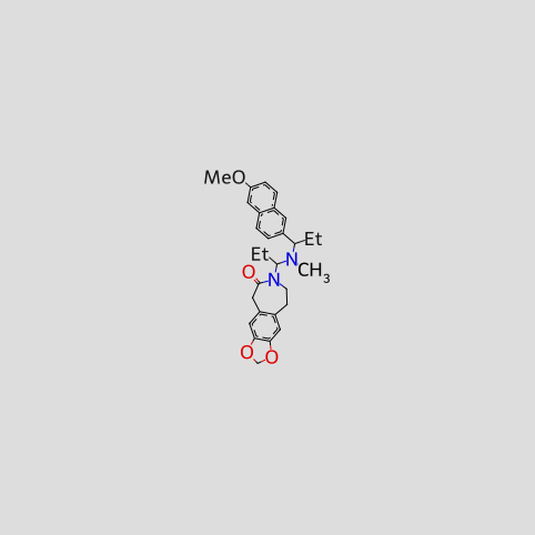 CCC(c1ccc2cc(OC)ccc2c1)N(C)C(CC)N1CCc2cc3c(cc2CC1=O)OCO3